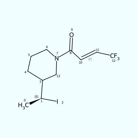 C[C@H](I)C1CCCN(C(=O)/C=C/C(F)(F)F)C1